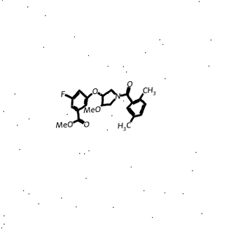 COC(=O)c1cc(F)cc(OC2CN(C(=O)c3cc(C)ccc3C)CC2OC)c1